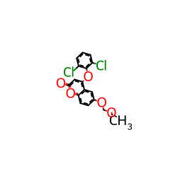 COCOc1ccc2oc(=O)cc(Oc3c(Cl)cccc3Cl)c2c1